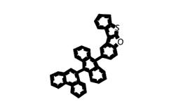 c1ccc2c(c1)cc(-c1c3ccccc3c(-c3ccc4oc5sc6ccccc6c5c4c3)c3ccccc13)c1ccccc12